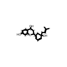 CC(C)=CCC1(O)C=CC=C(C2CC(O)c3ccc(O)cc3O2)C1